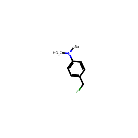 CC(C)(C)N(C(=O)O)c1ccc(CBr)cc1